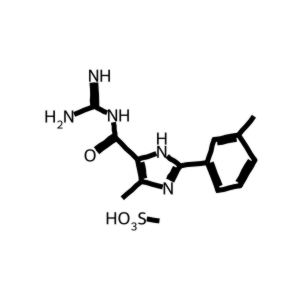 CS(=O)(=O)O.Cc1cccc(-c2nc(C)c(C(=O)NC(=N)N)[nH]2)c1